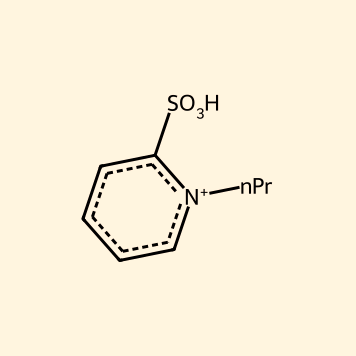 CCC[n+]1ccccc1S(=O)(=O)O